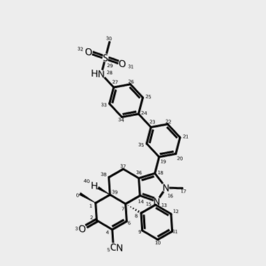 C[C@@H]1C(=O)C(C#N)=C[C@]2(c3ccccc3)c3nn(C)c(-c4cccc(-c5ccc(NS(C)(=O)=O)cc5)c4)c3CC[C@@H]12